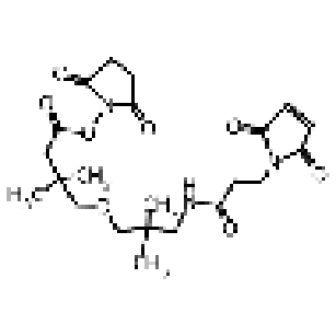 CC(C)(CNC(=O)CCN1C(=O)C=CC1=O)COCC(C)(C)CC(=O)ON1C(=O)CCC1=O